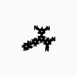 N#Cc1cc(C#N)cc(-c2cc(-c3ccc(-c4nc5ccccc5s4)cc3)cc(-c3cc(C#N)cc(C#N)c3)c2)c1